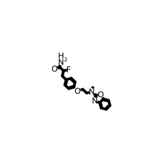 CN(CCOc1ccc(CC(F)C(N)=O)cc1)c1nc2ccccc2o1